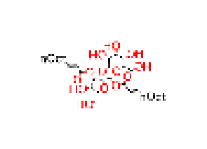 CCCCCCCCC=CC(=O)OC[C@@]1(O[C@H]2O[C@H](CO)[C@@H](O)[C@H](O)[C@H]2O)O[C@H](CO)[C@@H](O)[C@@H]1OC(=O)C=CCCCCCCCC